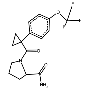 NC(=O)C1CCCN1C(=O)C1(c2ccc(OC(F)(F)F)cc2)CC1